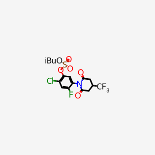 CC(C)COS(=O)(=O)Oc1cc(N2C(=O)CC(C(F)(F)F)CC2=O)c(F)cc1Cl